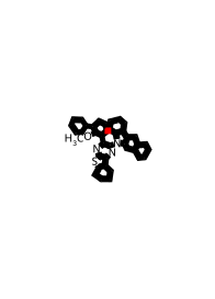 CC12C=CC=CC1c1cccc(-c3nc4sc5ccccc5c4nc3-n3c4ccccc4c4cc5ccccc5cc43)c1O2